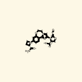 NC(=O)[C@@H]1CCN1c1ccc2c(c1)OCCn1cc(N3C(=C=O)OC[C@H]3C(F)F)nc1-2